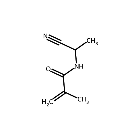 C=C(C)C(=O)NC(C)C#N